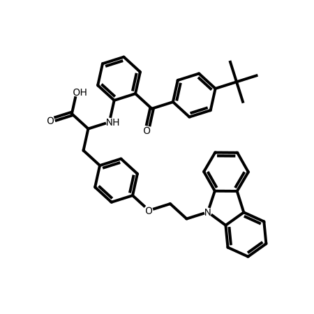 CC(C)(C)c1ccc(C(=O)c2ccccc2NC(Cc2ccc(OCCn3c4ccccc4c4ccccc43)cc2)C(=O)O)cc1